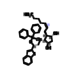 CC(C)(C)[Si](O[C@H](CC[C@@H]1[C@@H](C/C=C\CCCC(=O)O)[C@H](O)C[C@H]1O)c1cc2ccccc2s1)(c1ccccc1)c1ccccc1